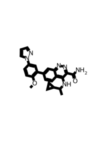 COc1ccc(-n2cccn2)cc1-c1ccc2c(NC(C)C3CC3)c(C(N)=O)nnc2c1